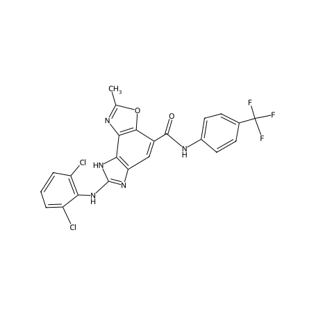 Cc1nc2c(o1)c(C(=O)Nc1ccc(C(F)(F)F)cc1)cc1nc(Nc3c(Cl)cccc3Cl)[nH]c12